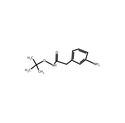 CC(C)(C)ONC(=O)Cc1cccc(N)c1